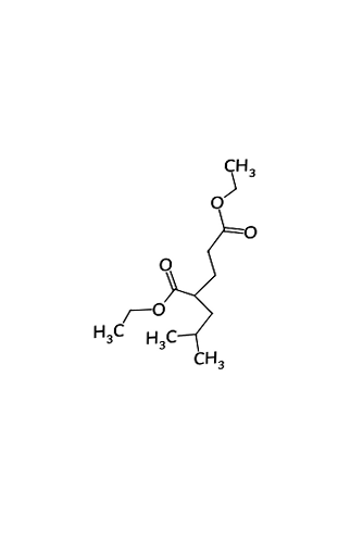 CCOC(=O)CCC(CC(C)C)C(=O)OCC